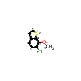 COc1c(Cl)ccc2ccsc12